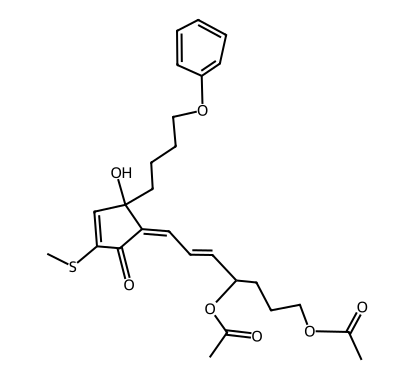 CSC1=CC(O)(CCCCOc2ccccc2)C(=CC=CC(CCCOC(C)=O)OC(C)=O)C1=O